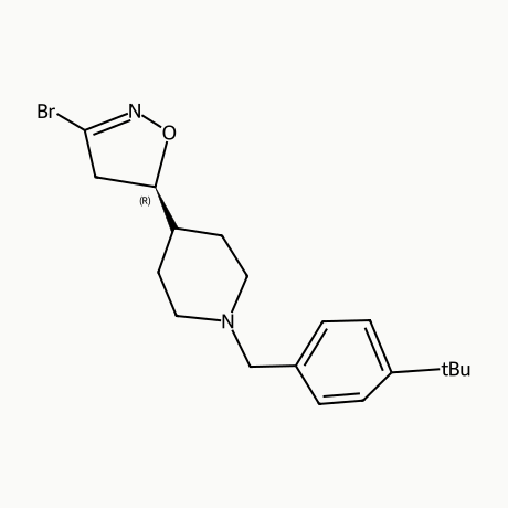 CC(C)(C)c1ccc(CN2CCC([C@H]3CC(Br)=NO3)CC2)cc1